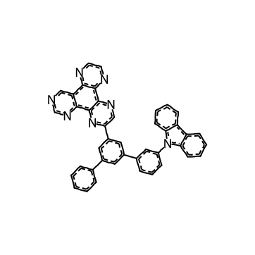 c1ccc(-c2cc(-c3cccc(-n4c5ccccc5c5ccccc54)c3)cc(-c3cnc4c5nccnc5c5cncnc5c4n3)c2)cc1